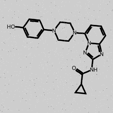 O=C(Nc1nc2cccc(N3CCN(c4ccc(O)cc4)CC3)n2n1)C1CC1